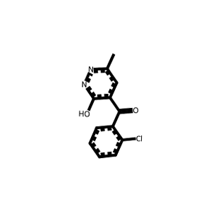 Cc1cc(C(=O)c2ccccc2Cl)c(O)nn1